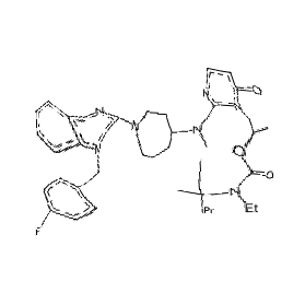 CCN(C(=O)OC(C)n1c(N(C)C2CCN(c3nc4ccccc4n3Cc3ccc(F)cc3)CC2)nccc1=O)C(C)(C)C(C)C